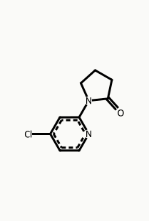 O=C1CCCN1c1cc(Cl)ccn1